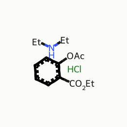 CCNCC.CCOC(=O)c1ccccc1OC(C)=O.Cl